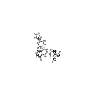 COc1cc(-c2cc(-c3ccc(N4CCCC4)cc3)c3ncnc(C)c3c2)cnc1OC